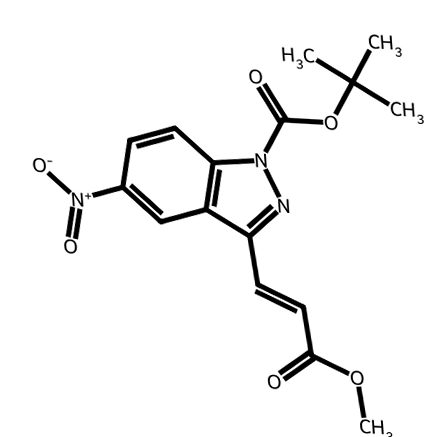 COC(=O)C=Cc1nn(C(=O)OC(C)(C)C)c2ccc([N+](=O)[O-])cc12